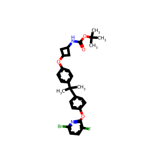 CC(C)(C)OC(=O)NC1CC(Oc2ccc(C(C)(C)c3ccc(Oc4nc(Br)ccc4F)cc3)cc2)C1